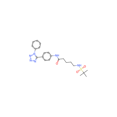 CC(C)(C)S(=O)(=O)NCCCCC(=O)Nc1ccc(-c2nnnn2-c2ccccc2)cc1